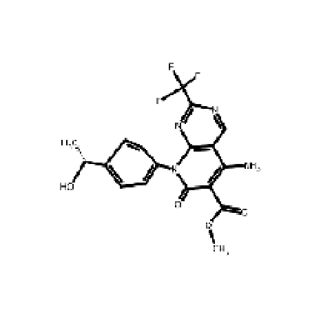 COC(=O)c1c(N)c2cnc(C(F)(F)F)nc2n(-c2ccc([C@@H](C)O)cc2)c1=O